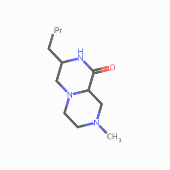 CC(C)CC1CN2CCN(C)CC2C(=O)N1